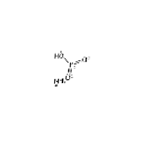 N.O=P(=O)O